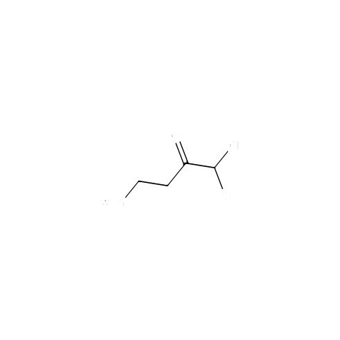 CC(=O)OCCC(=O)C(Cl)Cl